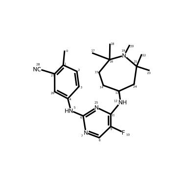 Cc1ccc(Nc2ncc(F)c(NC3CCC(C)(C)N(C)C(C)(C)C3)n2)cc1C#N